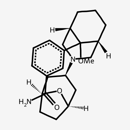 COC1(c2cccc(C(N)=O)c2)[C@@H]2CCC[C@H]1CN([C@H]1C[C@H]3CC[C@@H](C1)O3)C2